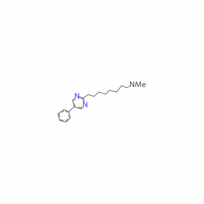 CNCCCCCCCCc1ncc(-c2ccccc2)cn1